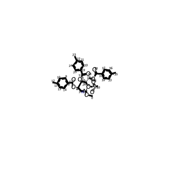 CO/N=C/[C@H](OC(=O)c1ccc(C)cc1)[C@@H](OC(=O)c1ccc(C)cc1)[C@H](COC(=O)c1ccc(C)cc1)OS(C)(=O)=O